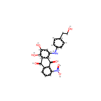 O=C1c2c(cccc2[N+](=O)[O-])C(=O)c2c(O)c(O)cc(Nc3ccc(CCO)cc3)c21